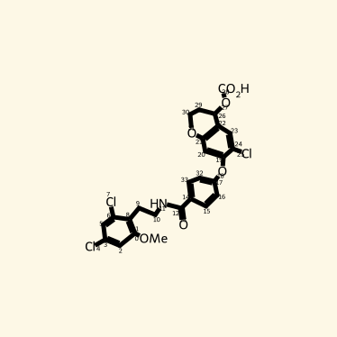 COc1cc(Cl)cc(Cl)c1CCNC(=O)c1ccc(Oc2cc3c(cc2Cl)C(OC(=O)O)CCO3)cc1